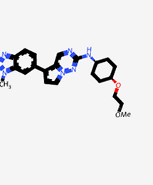 COCCO[C@H]1CC[C@@H](Nc2ncc3c(-c4ccc5nnn(C)c5c4)ccn3n2)CC1